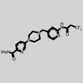 CNC(=O)c1ccc(N2CCN(Cc3ccnc(NC(=O)CC(F)(F)F)c3)CC2)cn1